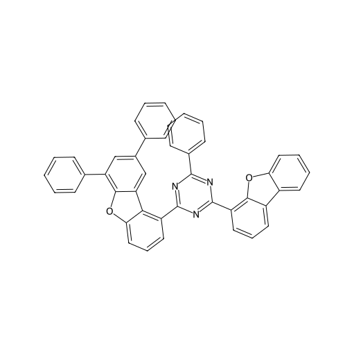 c1ccc(-c2cc(-c3ccccc3)c3oc4cccc(-c5nc(-c6ccccc6)nc(-c6cccc7c6oc6ccccc67)n5)c4c3c2)cc1